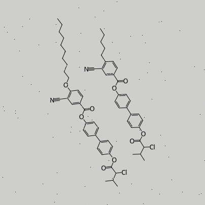 CCCCCCCCCCOc1ccc(C(=O)Oc2ccc(-c3ccc(OC(=O)C(Cl)C(C)C)cc3)cc2)cc1C#N.CCCCCc1ccc(C(=O)Oc2ccc(-c3ccc(OC(=O)C(Cl)C(C)C)cc3)cc2)cc1C#N